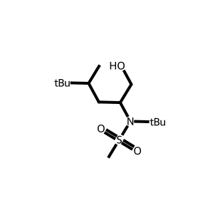 CC(CC(CO)N(C(C)(C)C)S(C)(=O)=O)C(C)(C)C